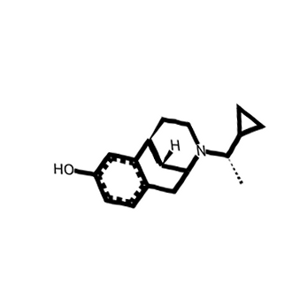 C[C@@H](C1CC1)N1CC[C@]23CCCC[C@H]2C1Cc1ccc(O)cc13